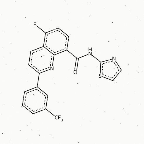 O=C(Nc1nccs1)c1ccc(F)c2ccc(-c3cccc(C(F)(F)F)c3)nc12